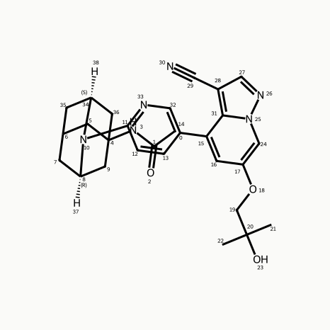 CC(=O)NC12CC3C[C@H](C1)N(c1ccc(-c4cc(OCC(C)(C)O)cn5ncc(C#N)c45)cn1)[C@@H](C3)C2